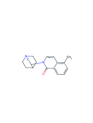 Cc1cccc2c(=O)n(C3CN4CCC3CC4)ccc12